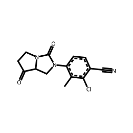 Cc1c(N2CC3C(=O)CCN3C2=O)ccc(C#N)c1Cl